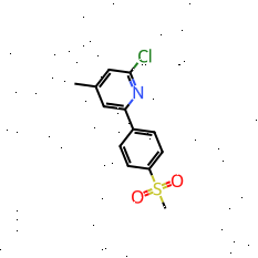 Cc1cc(Cl)nc(-c2ccc(S(C)(=O)=O)cc2)c1